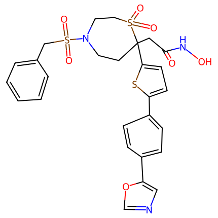 O=C(CC1(c2ccc(-c3ccc(-c4cnco4)cc3)s2)CCN(S(=O)(=O)Cc2ccccc2)CCS1(=O)=O)NO